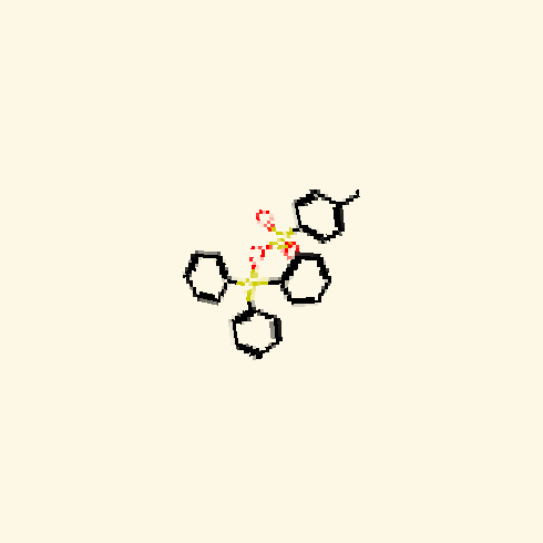 Cc1ccc(S(=O)(=O)OS(c2ccccc2)(c2ccccc2)c2ccccc2)cc1